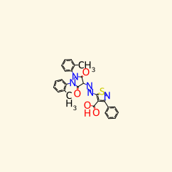 Cc1ccccc1N1C(=O)C(/N=N/c2snc(-c3ccccc3)c2C(=O)O)C(=O)N1c1ccccc1C